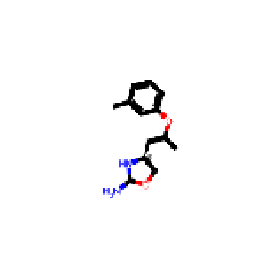 Cc1cccc(OC(C)C[C@H]2COC(N)N2)c1